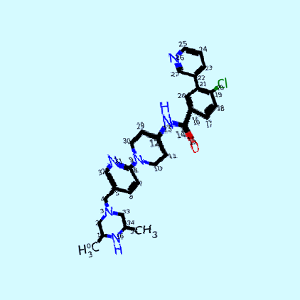 CC1CN(Cc2ccc(N3CCC(NC(=O)c4ccc(Cl)c(-c5cccnc5)c4)CC3)nc2)CC(C)N1